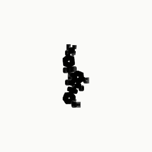 CC(C)(c1ccc[n+](O)c1)N1C(=O)c2c(Cl)ccc(NS(=O)(=O)c3ccc(OC(F)(F)F)cc3)c2C1=O